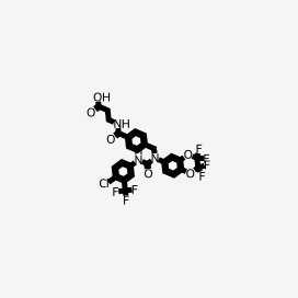 O=C(O)CCNC(=O)c1ccc(CN(C(=O)Nc2ccc(Cl)c(C(F)(F)F)c2)c2ccc3c(c2)OC(F)(F)C(F)(F)O3)cc1